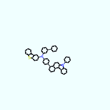 c1ccc(-c2cccc(N(c3ccc(-c4cccc5c4ccc4c5c5ccccc5n4-c4ccccc4)cc3)c3ccc4sc5ccccc5c4c3)c2)cc1